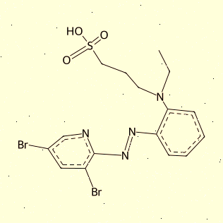 CCN(CCCS(=O)(=O)O)c1ccccc1N=Nc1ncc(Br)cc1Br